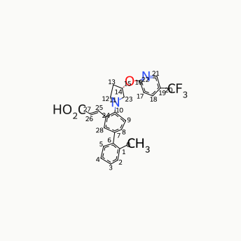 Cc1ccccc1-c1ccc(N2CC[C@H](Oc3ccc(C(F)(F)F)cn3)C2)c(C=CC(=O)O)c1